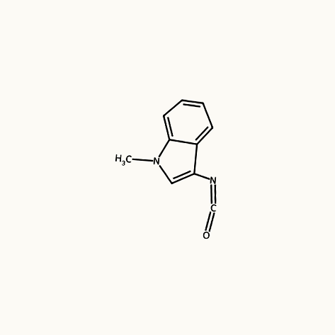 Cn1cc(N=C=O)c2ccccc21